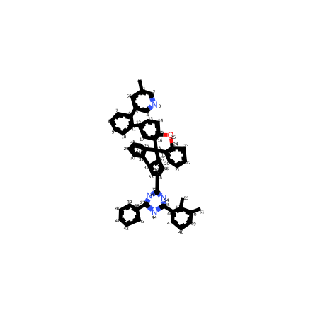 Cc1cncc(-c2ccccc2-c2ccc3c(c2)C2(c4ccccc4O3)c3ccccc3-c3cc(-c4nc(-c5ccccc5)nc(-c5cccc(C)c5C)n4)ccc32)c1